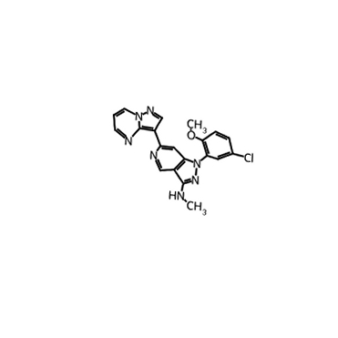 CNc1nn(-c2cc(Cl)ccc2OC)c2cc(-c3cnn4cccnc34)ncc12